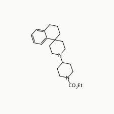 CCOC(=O)N1CCC(N2CCC3(CCCc4ccccc43)CC2)CC1